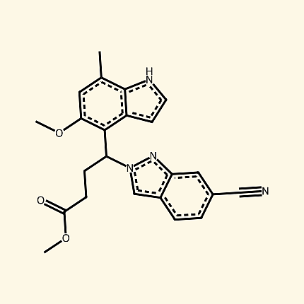 COC(=O)CCC(c1c(OC)cc(C)c2[nH]ccc12)n1cc2ccc(C#N)cc2n1